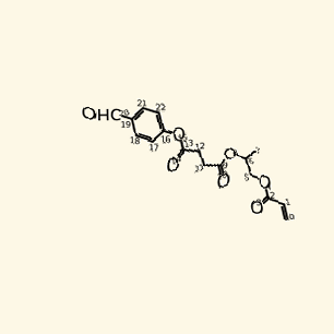 C=CC(=O)OCC(C)OC(=O)CCC(=O)Oc1ccc(C=O)cc1